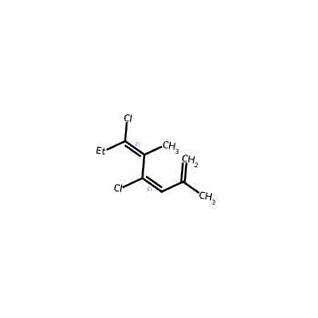 C=C(C)/C=C(Cl)\C(C)=C(\Cl)CC